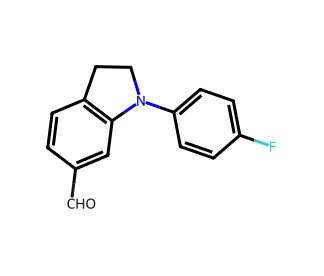 O=Cc1ccc2c(c1)N(c1ccc(F)cc1)CC2